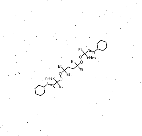 CCCCCCC(CC)(N=NC1CCCCC1)OOC(CC)(CC)CCC(CC)(CC)OOC(CC)(CCCCCC)N=NC1CCCCC1